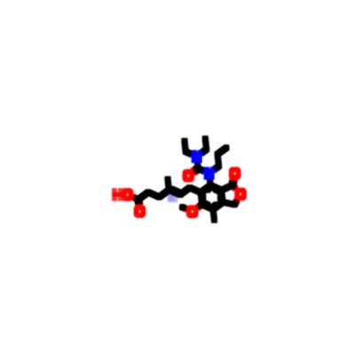 CCCN(C(=O)N(CC)CC)c1c(C/C=C(\C)CCC(=O)O)c(OC)c(C)c2c1C(=O)OC2